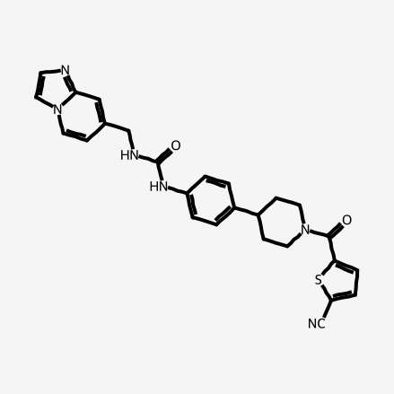 N#Cc1ccc(C(=O)N2CCC(c3ccc(NC(=O)NCc4ccn5ccnc5c4)cc3)CC2)s1